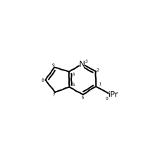 CC(C)c1cnc2c(c1)CC=C2